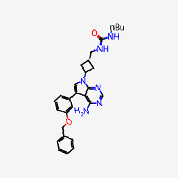 CCCCNC(=O)NC[C@H]1C[C@@H](n2cc(-c3cccc(OCc4ccccc4)c3)c3c(N)ncnc32)C1